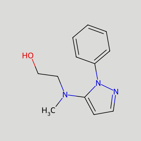 CN(CCO)c1ccnn1-c1ccccc1